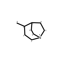 CC1CCN2CCC1CC2